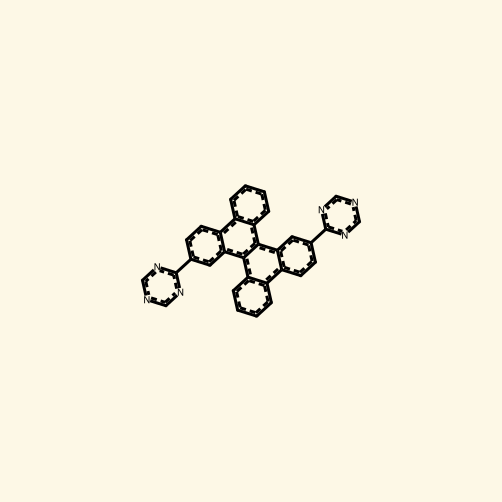 c1ccc2c(c1)c1ccc(-c3ncncn3)cc1c1c3ccccc3c3ccc(-c4ncncn4)cc3c21